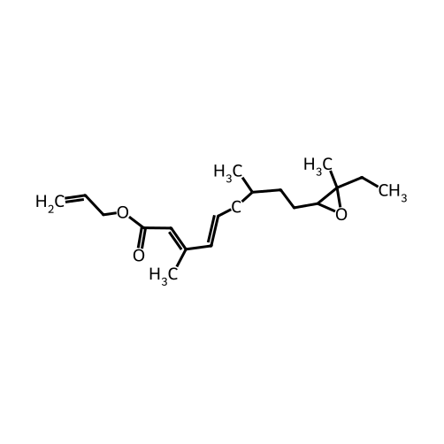 C=CCOC(=O)C=C(C)C=CCC(C)CCC1OC1(C)CC